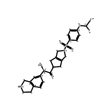 O=C(C1CC2=C(C1)CN(S(=O)(=O)c1ccc(OC(F)F)cc1)C2)[C@H](O)c1ccc2c(c1)CNCC2